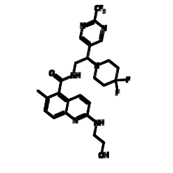 Cc1ccc2nc(NCCO)ccc2c1C(=O)NCC(c1cnc(C(F)(F)F)nc1)N1CCC(F)(F)CC1